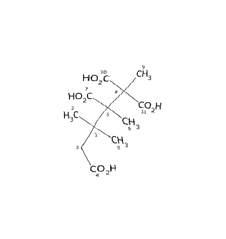 CC(C)(CC(=O)O)C(C)(C(=O)O)C(C)(C(=O)O)C(=O)O